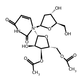 CC(=O)OC[C@H]1O[C@@H]([N+]2([C@H]3C[C@H](O)[C@@H](CO)O3)C=CC(=O)NC2=O)[C@H](O)[C@@H]1OC(C)=O